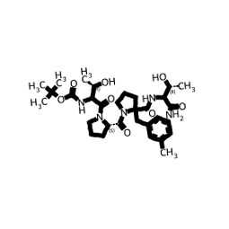 Cc1cccc(CC2(C(=O)NC(C(N)=O)[C@@H](C)O)CCCN2C(=O)[C@@H]2CCCN2C(=O)C(NC(=O)OC(C)(C)C)[C@@H](C)O)c1